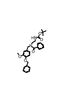 COc1cc(CN(CCNC(=O)OC(C)(C)C)C(=O)c2ccccc2)ccc1OCc1ccccc1